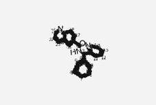 O=C(NC(c1ccccc1)c1ccccn1)c1ccc2ncccc2c1